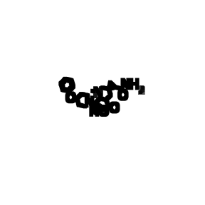 CN1CC2(CC(C(=O)O)C1C(=O)N1CCC(Oc3ccccc3)CC1)CC2C(N)=O